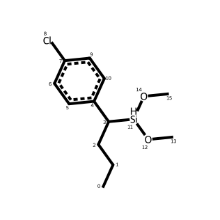 CCCC(c1ccc(Cl)cc1)[SiH](OC)OC